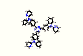 c1ccc(-n2c3ccccc3c3cc(-c4nc(-c5ccc6c(c5)c5ccccc5n6-c5ccccn5)nc(-c5ccc6c(c5)c5ccccc5n6-c5ccccn5)n4)ccc32)nc1